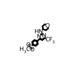 CS(=O)(=O)c1ccc(-c2cc(C(F)(F)F)nc(NC3CCOCC3)n2)cc1